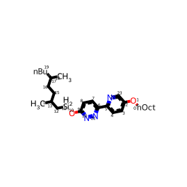 CCCCCCCCOc1ccc(-c2ccc(O[SiH2]CC(C)CCC(C)CCCC)nn2)nc1